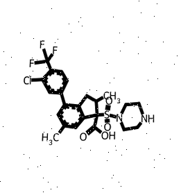 Cc1cc(-c2ccc(C(F)(F)F)c(Cl)c2)c2c(c1)C(C(=O)O)(S(=O)(=O)N1CCNCC1)C(C)C2